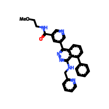 COCCNC(=O)c1cncc(-c2nnc(NCc3ccccn3)c3c(-c4ccccc4)cccc23)c1